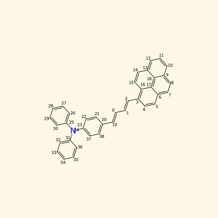 C(C=Cc1ccc2ccc3cccc4ccc1c2c34)=Cc1ccc(N(c2ccccc2)c2ccccc2)cc1